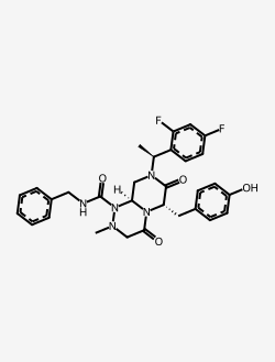 C[C@@H](c1ccc(F)cc1F)N1C[C@H]2N(C(=O)CN(C)N2C(=O)NCc2ccccc2)[C@@H](Cc2ccc(O)cc2)C1=O